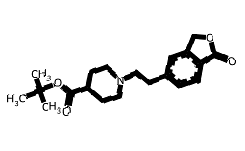 CC(C)(C)OC(=O)C1CCN(CCc2ccc3c(c2)COC3=O)CC1